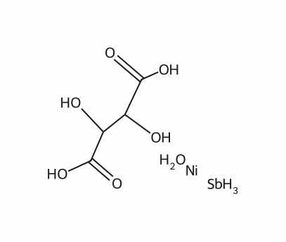 O.O=C(O)C(O)C(O)C(=O)O.[Ni].[SbH3]